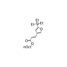 CCCCCCCCOC(=O)C=Cc1coc([Si](CC)(CC)CC)c1